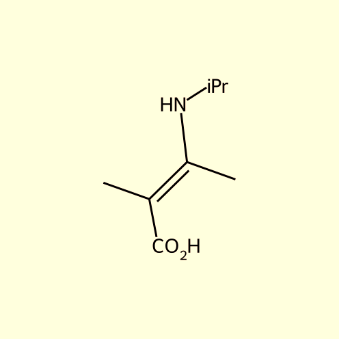 C/C(NC(C)C)=C(/C)C(=O)O